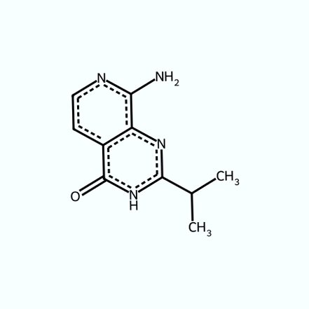 CC(C)c1nc2c(N)nccc2c(=O)[nH]1